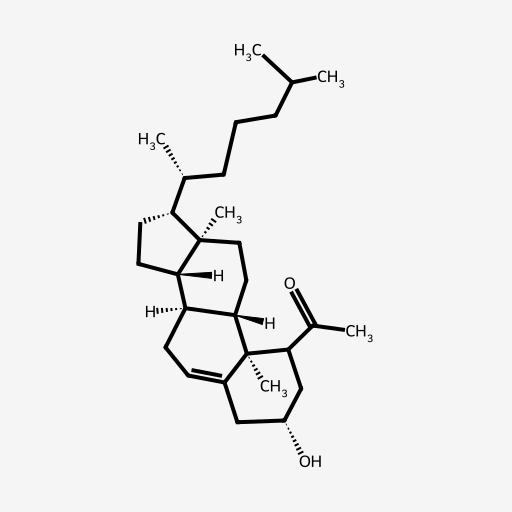 CC(=O)C1C[C@H](O)CC2=CC[C@H]3[C@@H]4CC[C@H]([C@H](C)CCCC(C)C)[C@@]4(C)CC[C@@H]3[C@]21C